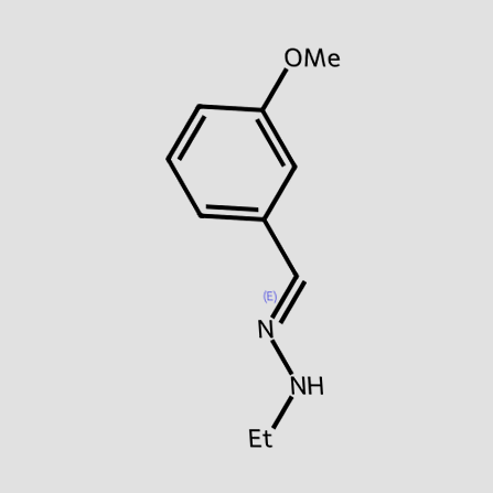 CCN/N=C/c1cccc(OC)c1